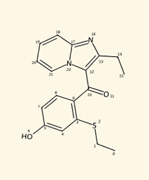 CCSc1cc(O)ccc1C(=O)c1c(CC)nc2ccccn12